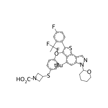 CC(C)(C)c1cc2c(cnn2C2CCCCO2)c2sc(-c3ccc(F)cc3C(C)(F)F)c(Oc3ccc(SC4CN(C(=O)O)C4)cc3)c12